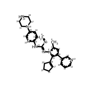 C=N/C(=N\n1c(C)cc(-c2cccnc2)c1C1=CCCC1)Nc1ccc(N2CCNCC2)cn1